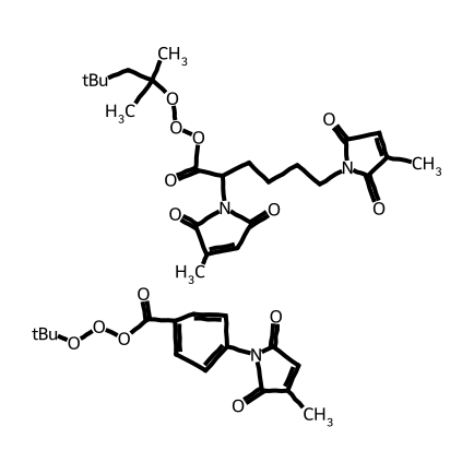 CC1=CC(=O)N(CCCCC(C(=O)OOOC(C)(C)CC(C)(C)C)N2C(=O)C=C(C)C2=O)C1=O.CC1=CC(=O)N(c2ccc(C(=O)OOOC(C)(C)C)cc2)C1=O